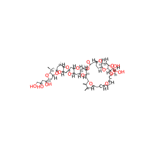 C=C1C2C[C@@H]3O[C@H]4C[C@H]5O[C@@]6(C[C@@H]7O[C@]8(C[C@H](C)C9O[C@H]([C@@H](O)C[C@@H](O)CO)C[C@@H]9O8)C[C@H](C)[C@@H]7O6)C[C@H]5O[C@H]4[C@H](C)[C@H]3OC(=O)C[C@H]3CC[C@@H]4OC5C6OC7(O)[C@@H](O)[C@](CC[C@H]8CC(=C)[C@H](CC[C@@H](C[C@H]1C)O2)O8)(O[C@H]6[C@H]4O3)O[C@@H]57